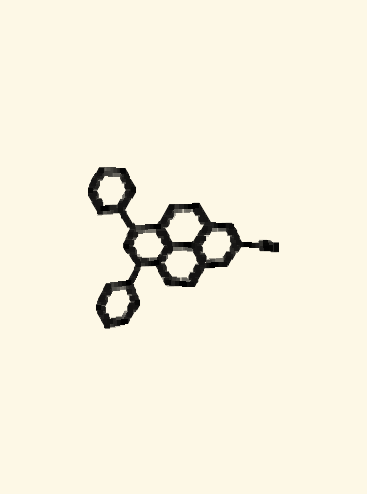 CC(C)(C)c1cc2ccc3c(-c4ccccc4)cc(-c4ccccc4)c4ccc(c1)c2c34